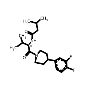 CC(C)CC(=O)N[C@@H](C(=O)N1CCC(c2ccc(F)c(F)c2)CC1)C(C)C